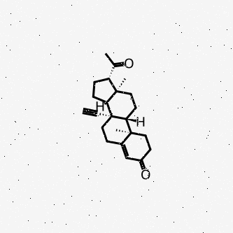 C#C[C@@]12CCC3=CC(=O)CC[C@]3(C)[C@H]1CC[C@]1(C)[C@@H](C(C)=O)CC[C@H]12